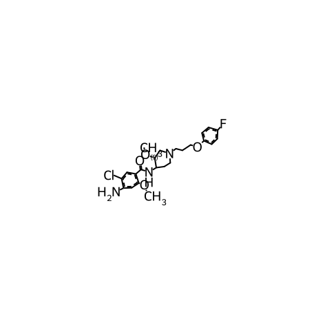 COc1cc(N)c(Cl)cc1C(=O)NC1CCN(CCCOc2ccc(F)cc2)C[C@@H]1OC